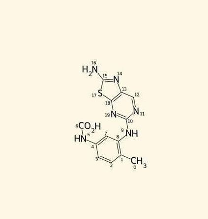 Cc1ccc(NC(=O)O)cc1Nc1ncc2nc(N)sc2n1